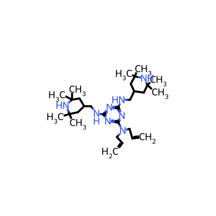 C=CCN(CC=C)c1nc(NCC2CC(C)(C)NC(C)(C)C2)nc(NCC2CC(C)(C)NC(C)(C)C2)n1